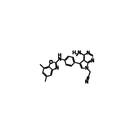 Cc1cc(C)c2oc(Nc3ccc(-c4cn(CC#N)c5ncnc(N)c45)cc3)nc2c1